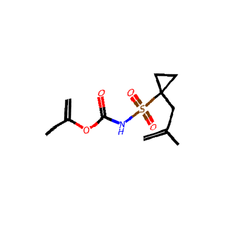 C=C(C)CC1(S(=O)(=O)NC(=O)OC(=C)C)CC1